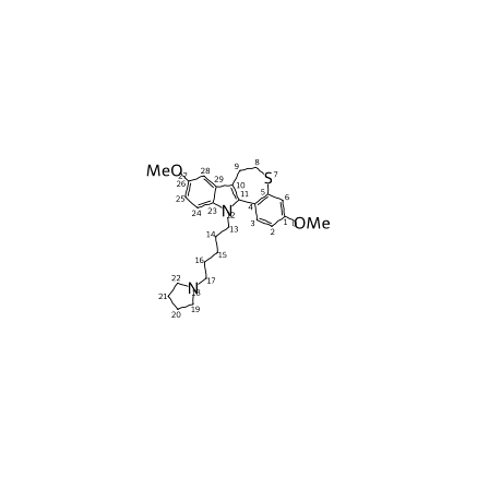 COc1ccc2c(c1)SCCc1c-2n(CCCCCN2CCCC2)c2ccc(OC)cc12